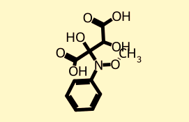 CON(c1ccccc1)C(O)(C(=O)O)C(O)C(=O)O